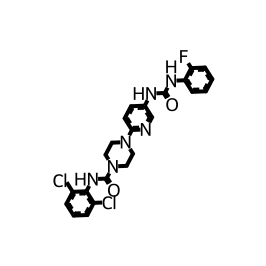 O=C(Nc1ccc(N2CCN(C(=O)Nc3c(Cl)cccc3Cl)CC2)nc1)Nc1ccccc1F